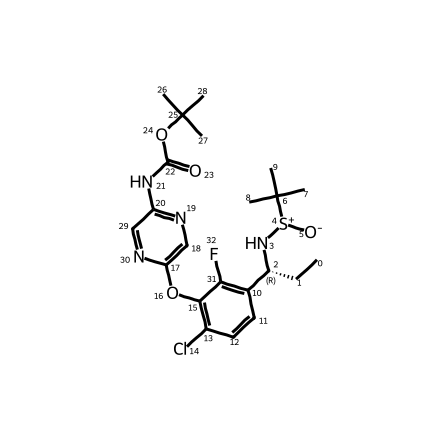 CC[C@@H](N[S+]([O-])C(C)(C)C)c1ccc(Cl)c(Oc2cnc(NC(=O)OC(C)(C)C)cn2)c1F